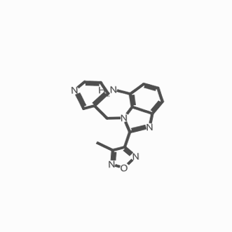 Cc1nonc1-c1nc2cccc(N)c2n1Cc1cccnc1